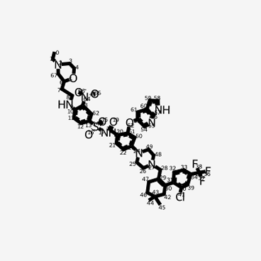 CCN1CCOC(CCNc2ccc(S(=O)(=O)NC(=O)c3ccc(N4CCN(CC5=C(c6ccc(C(F)(F)F)cc6Cl)CC(C)(C)CC5)CC4)cc3Oc3cnc4[nH]ccc4c3)cc2[N+](=O)[O-])C1